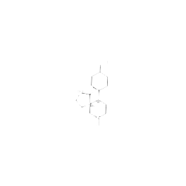 O=C1NCC[C@@]12CNCC[C@@H]2C1CCC(O)CC1